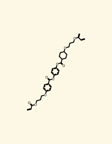 C=CC(=C)OCCCOC1CCC(C(=O)Oc2ccc(OC(=O)c3ccc(OCCCOC(=O)C=C)cc3)cc2)CC1